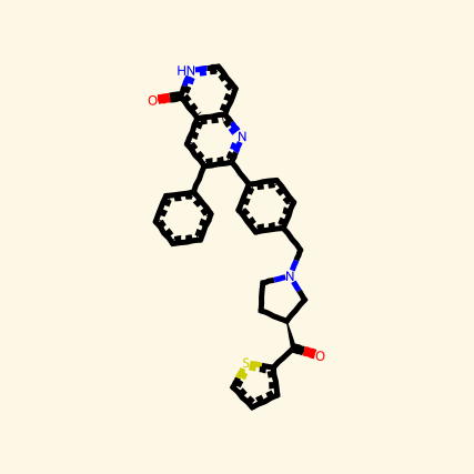 O=C(c1cccs1)[C@H]1CCN(Cc2ccc(-c3nc4cc[nH]c(=O)c4cc3-c3ccccc3)cc2)C1